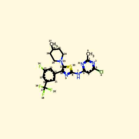 Cc1nc(Cl)cc(Nc2nc(-c3cc(F)cc(C(F)(F)F)c3)c(N3CCC(C)CC3)s2)n1